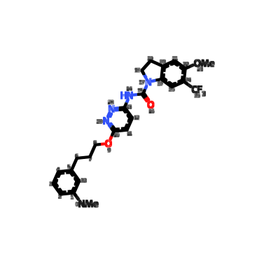 CNc1cccc(CCCOc2ccc(NC(=O)N3CCc4cc(OC)c(C(F)(F)F)cc43)nn2)c1